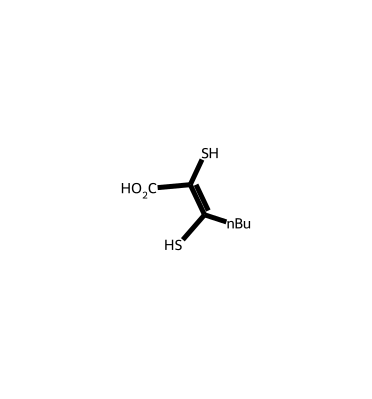 CCCCC(S)=C(S)C(=O)O